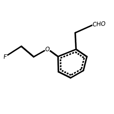 O=CCc1ccccc1OCCF